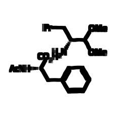 CC(=O)N[C@@H](Cc1ccccc1)C(=O)O.COC(OC)[C@H](N)CC(C)C